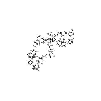 CCN(CC(=O)NC(CCC=O)C(=O)NC(CCC(=O)NC(C(=O)OCCN1CCN(c2cc(Nc3ncc(C(=O)Nc4c(C)cccc4Cl)s3)nc(C)n2)CC1)C(C)C)C(=O)NC(C(=O)OCCN1CCN(c2cc(Cc3ncc(C(=O)Nc4c(C)cccc4Cl)s3)nc(C)n2)CC1)C(C)C)C(C)=O